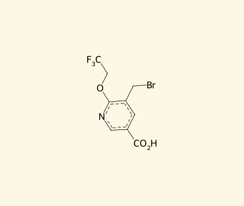 O=C(O)c1cnc(OCC(F)(F)F)c(CBr)c1